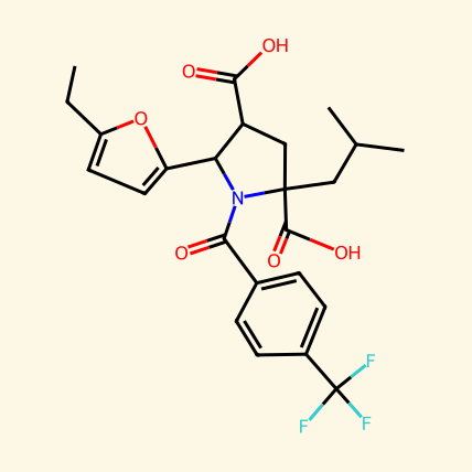 CCc1ccc(C2C(C(=O)O)CC(CC(C)C)(C(=O)O)N2C(=O)c2ccc(C(F)(F)F)cc2)o1